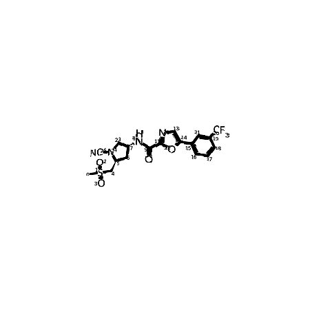 CS(=O)(=O)C[C@@H]1C[C@@H](NC(=O)c2ncc(-c3cccc(C(F)(F)F)c3)o2)CN1C#N